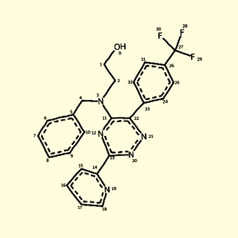 OCCN(Cc1ccccc1)c1nc(-c2ccccn2)nnc1-c1ccc(C(F)(F)F)cc1